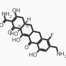 NCc1cc(O)c2c(c1F)CC1C[C@H]3CC(O)=C(C(N)=O)C(=O)[C@@]3(O)C(O)=C1C2=O